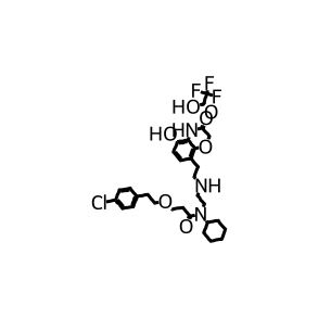 O=C(O)C(F)(F)F.O=C1COc2c(CCNCCN(C(=O)CCOCCc3ccc(Cl)cc3)C3CCCCC3)ccc(O)c2N1